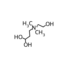 C[N+](C)(CCO)CCC(O)O